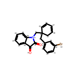 O=C1C(=O)N(CC2(Cc3cccc(Br)c3)C=CC=CC2)c2ccccc21